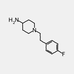 NC1CCN(CCc2ccc(F)cc2)CC1